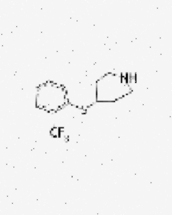 FC(F)(F)c1ccccc1SC1CCNCC1